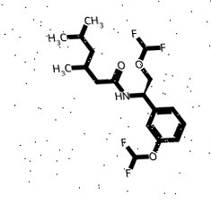 CC(C)CC(C)CC(=O)N[C@@H](COC(F)F)c1cccc(OC(F)F)c1